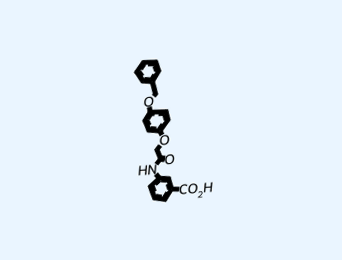 O=C(COc1ccc(OCc2ccccc2)cc1)Nc1cccc(C(=O)O)c1